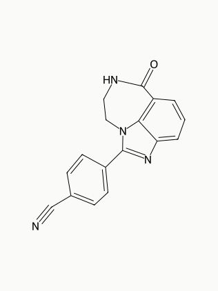 N#Cc1ccc(-c2nc3cccc4c3n2CCNC4=O)cc1